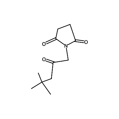 CC(C)(C)CC(=O)CN1C(=O)CCC1=O